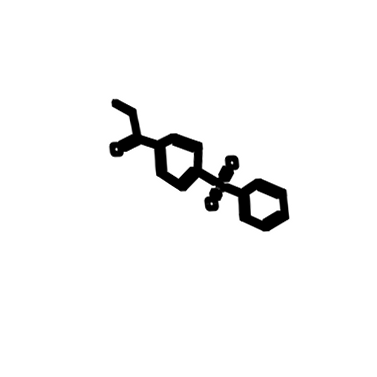 CCC(=O)c1ccc(S(=O)(=O)c2ccccc2)cc1